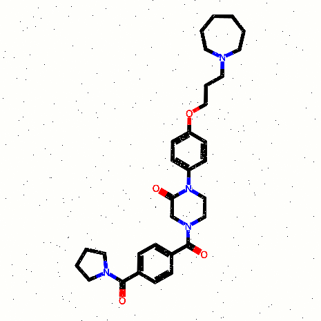 O=C(c1ccc(C(=O)N2CCN(c3ccc(OCCCN4CCCCCC4)cc3)C(=O)C2)cc1)N1CCCC1